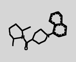 CC1CCCC(C)N1C(=O)C1CCN(c2cccc3ccccc23)CC1